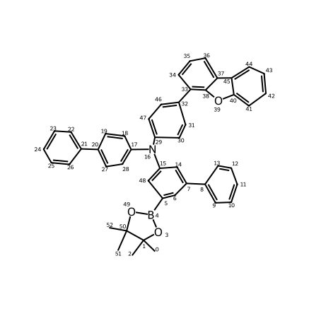 CC1(C)OB(c2cc(-c3ccccc3)cc(N(c3ccc(-c4ccccc4)cc3)c3ccc(-c4cccc5c4oc4ccccc45)cc3)c2)OC1(C)C